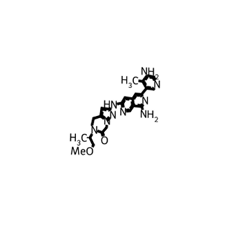 COC[C@H](C)N1CCc2cc(Nc3cc4cc(-c5cncc(N)c5C)nc(N)c4cn3)nn2CC1=O